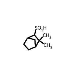 CC1(C)C2CCC(C2)C1S(=O)(=O)O